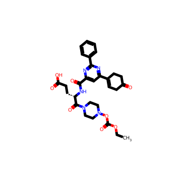 CCOC(=O)ON1CCN(C(=O)[C@H](CCC(=O)O)NC(=O)c2cc(C3=CCC(=O)CC3)nc(-c3ccccc3)n2)CC1